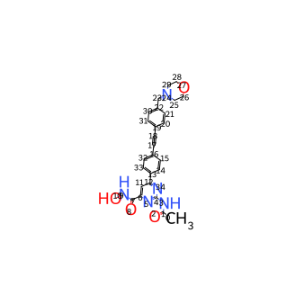 CC(=O)Nc1nc(C(=O)NO)cc(-c2ccc(C#Cc3ccc(CN4CCOCC4)cc3)cc2)n1